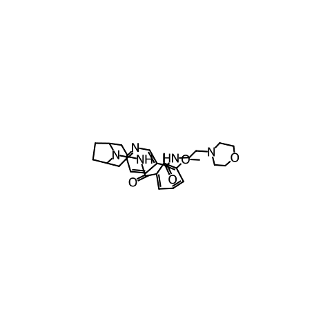 COc1cccc(C(=O)NC2CC3CCC(C2)N3c2ccc(C(=O)NCCN3CCOCC3)cn2)c1C